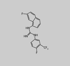 N=C(Nc1ccc(F)c(C(F)(F)F)c1)Nc1cccc2ccc(F)cc12